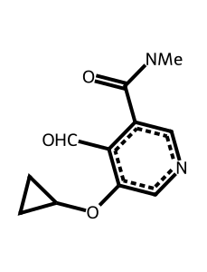 CNC(=O)c1cncc(OC2CC2)c1C=O